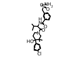 CC(C)C(NC(=O)c1cccc(CS(N)(=O)=O)c1)C(=O)N1CCC(O)(c2ccc(Cl)cc2)C(C)(C)C1